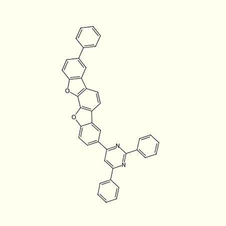 c1ccc(-c2ccc3oc4c(ccc5c6cc(-c7cc(-c8ccccc8)nc(-c8ccccc8)n7)ccc6oc54)c3c2)cc1